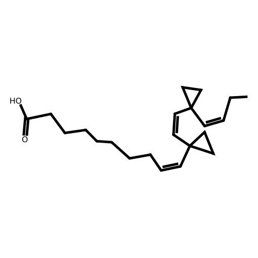 CC/C=C\C1(/C=C\C2(/C=C\CCCCCCCC(=O)O)CC2)CC1